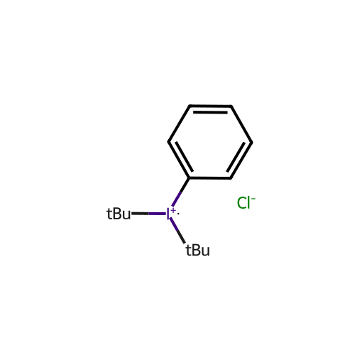 CC(C)(C)[I+](c1ccccc1)C(C)(C)C.[Cl-]